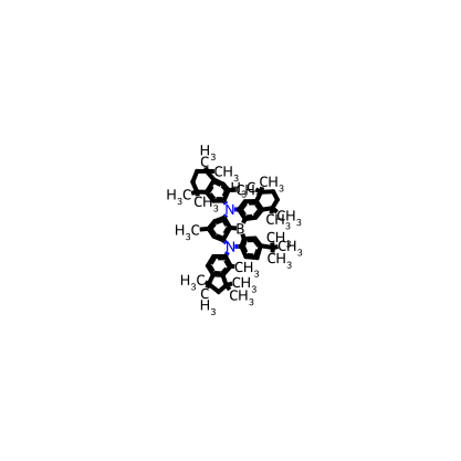 Cc1cc2c3c(c1)N(c1ccc4c(c1C)C(C)(C)CC4(C)C)c1ccc(C(C)(C)C)cc1B3c1cc3c(cc1N2c1cc2c(cc1C)C(C)(C)CCC2(C)C)C(C)(C)CCC3(C)C